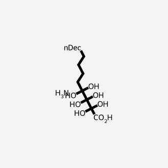 CCCCCCCCCCCCCCC(O)(O)C(O)(O)C(O)(O)C(=O)O.N